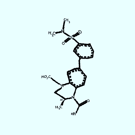 CCCC(=O)N1c2ccc(-c3cccc(S(=O)(=O)N(C)C)c3)cc2N(C(=O)O)C[C@@H]1C